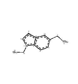 CC(C)(C)Cc1ccc2c(ccn2CC(C)(C)C)c1